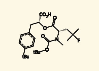 CN(C(=O)OC(C)(C)C)[C@@H](CC(C)(C)F)C(=O)O[C@H](Cc1ccc(C(C)(C)C)cc1)C(=O)O